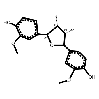 COc1cc(C2O[C@@H](c3ccc(O)c(OC)c3)[C@H](C)[C@@H]2C)ccc1O